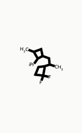 CC(C)C1C(C)CC1CC(C)C1CCC1(F)F